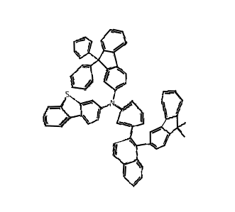 CC1(C)c2ccccc2-c2cc(-c3c(-c4cccc(N(c5ccc6c(c5)C(c5ccccc5)(c5ccccc5)c5ccccc5-6)c5ccc6c(c5)sc5ccccc56)c4)ccc4ccccc34)ccc21